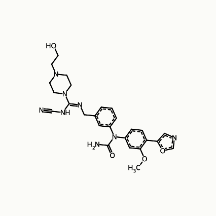 COc1cc(N(C(N)=O)c2cccc(C/N=C(\NC#N)N3CCN(CCO)CC3)c2)ccc1-c1cnco1